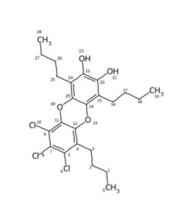 CCCCc1c(Cl)c(Cl)c(Cl)c2c1Oc1c(CCCC)c(O)c(O)c(CCCC)c1O2